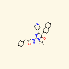 Cn1c(NCC(O)Cc2ccccc2)nc(-c2ccncc2)c(-c2ccc3ccccc3c2)c1=O